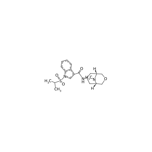 CC(C)S(=O)(=O)n1cc(C(=O)NC2C[C@H]3COC[C@@H](C2)N3C)c2ccccc21